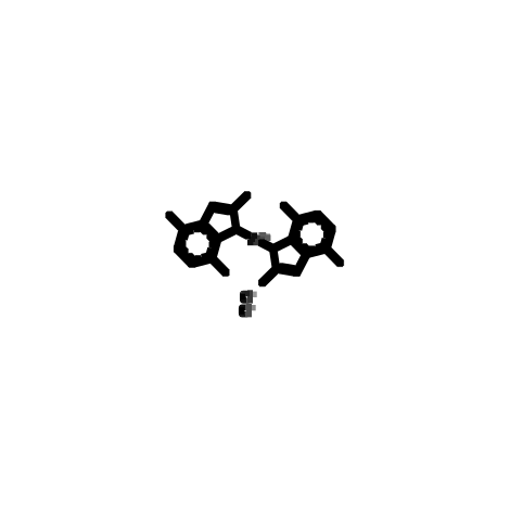 CC1=Cc2c(C)ccc(C)c2[CH]1[Zr+2][CH]1C(C)=Cc2c(C)ccc(C)c21.[Cl-].[Cl-]